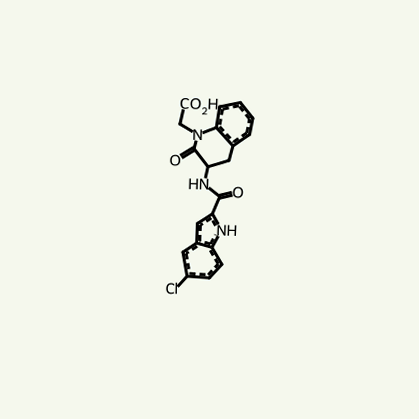 O=C(O)CN1C(=O)C(NC(=O)c2cc3cc(Cl)ccc3[nH]2)Cc2ccccc21